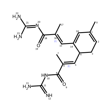 CC1=CCC(/C=C(\C)C(=O)NC(=N)N)C(/C=C(\C)C(=O)N=C(N)N)=C1